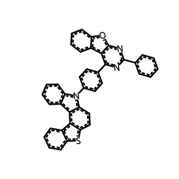 c1ccc(-c2nc(-c3ccc(-n4c5ccccc5c5c6c(ccc54)sc4ccccc46)cc3)c3c(n2)oc2ccccc23)cc1